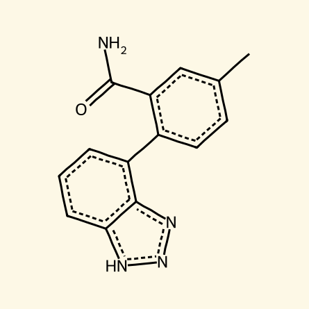 Cc1ccc(-c2cccc3[nH]nnc23)c(C(N)=O)c1